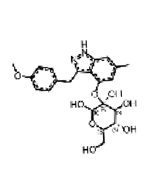 COc1ccc(Cc2n[nH]c3cc(C)cc(O[C@]4(O)[C@H](O)O[C@H](CO)[C@@H](O)[C@@H]4O)c23)cc1